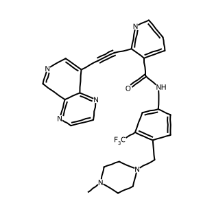 CN1CCN(Cc2ccc(NC(=O)c3cccnc3C#Cc3cncc4nccnc34)cc2C(F)(F)F)CC1